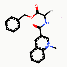 CCC(NC(=O)c1cc2ccccc2[n+](C)c1)C(=O)OCc1ccccc1.[I-]